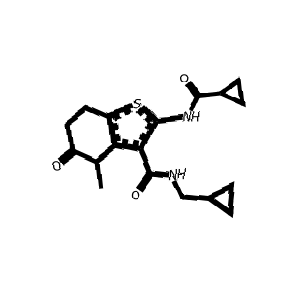 CC1C(=O)CCc2sc(NC(=O)C3CC3)c(C(=O)NCC3CC3)c21